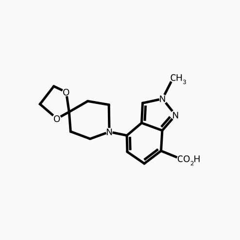 Cn1cc2c(N3CCC4(CC3)OCCO4)ccc(C(=O)O)c2n1